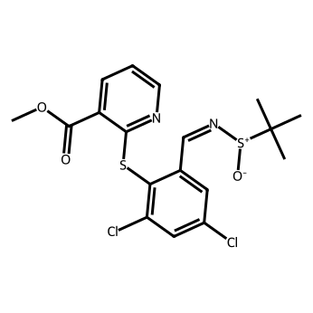 COC(=O)c1cccnc1Sc1c(Cl)cc(Cl)cc1/C=N\[S+]([O-])C(C)(C)C